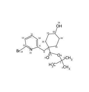 CC(C)(C)OC(=O)C1(Cc2cccc(Br)n2)CCC(O)CC1